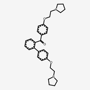 O=C(c1ccc(OCCN2CCCC2)cc1)c1ccccc1-c1ccc(OCCN2CCCC2)cc1